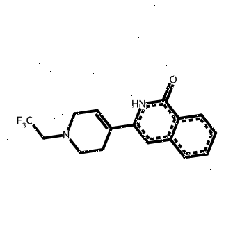 O=c1[nH]c(C2=CCN(CC(F)(F)F)CC2)cc2ccccc12